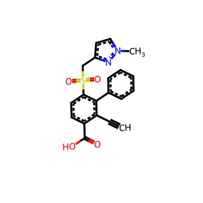 C#Cc1c(C(=O)O)ccc(S(=O)(=O)Cc2ccn(C)n2)c1-c1ccccc1